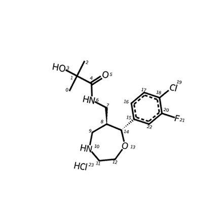 CC(C)(O)C(=O)NC[C@@H]1CNCCO[C@H]1c1ccc(Cl)c(F)c1.Cl